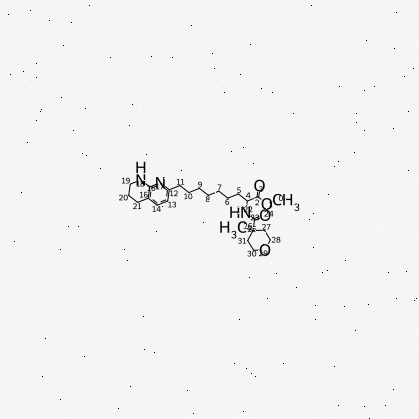 COC(=O)C(CCCCCCCc1ccc2c(n1)NCCC2)NC(=O)C1(C)CCOCC1